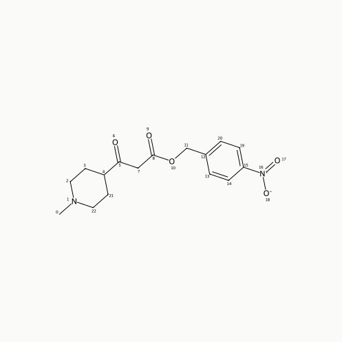 CN1CCC(C(=O)CC(=O)OCc2ccc([N+](=O)[O-])cc2)CC1